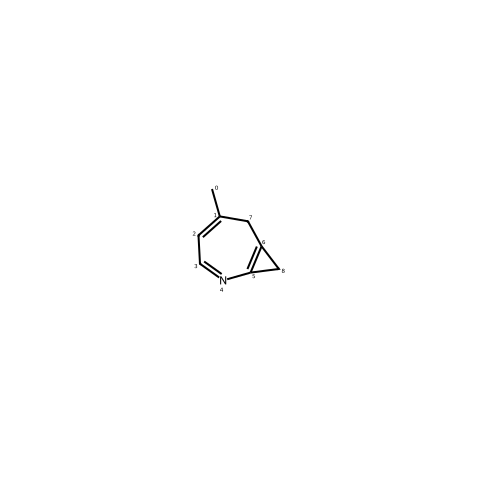 CC1=CC=NC2=C(C1)C2